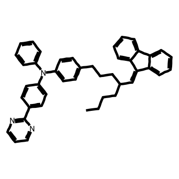 CCCCC(C=C1c2ccccc2-c2ccccc21)CCCc1ccc(N(c2ccccc2)c2ccc(-c3ncccn3)cc2)cc1